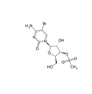 CS(=O)(=O)O[C@@H]1[C@@H](O)[C@H](n2cc(Br)c(N)nc2=O)O[C@@H]1CO